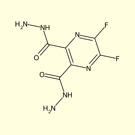 NNC(=O)c1nc(F)c(F)nc1C(=O)NN